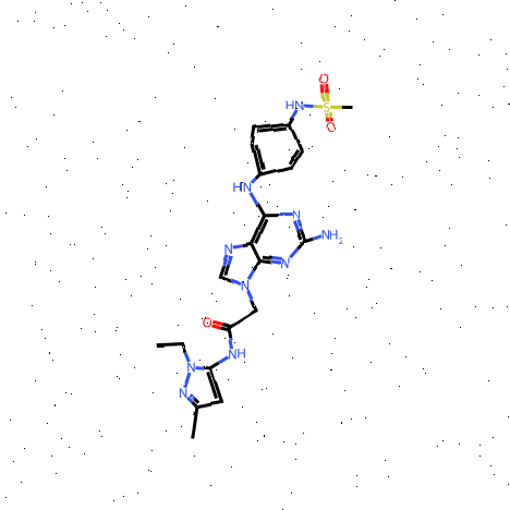 CCn1nc(C)cc1NC(=O)Cn1cnc2c(Nc3ccc(NS(C)(=O)=O)cc3)nc(N)nc21